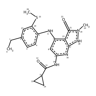 CCc1ccc(Nc2cc(NC(=O)C3CC3)nc3[nH]n(C)c(=O)c23)c(SC)c1